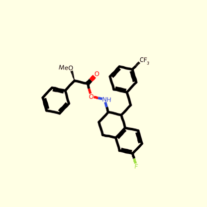 CO[C@@H](C(=O)ONC1CCc2cc(F)ccc2C1Cc1cccc(C(F)(F)F)c1)c1ccccc1